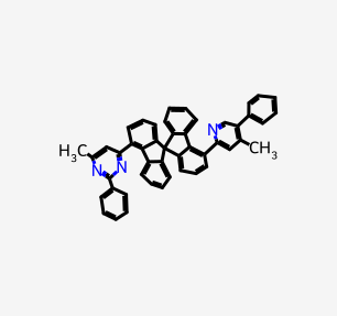 Cc1cc(-c2cccc3c2-c2ccccc2C32c3ccccc3-c3c(-c4cc(C)c(-c5ccccc5)cn4)cccc32)nc(-c2ccccc2)n1